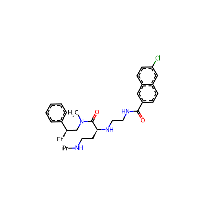 CC[C@H](CN(C)C(=O)[C@H](CCNC(C)C)NCCNC(=O)c1ccc2cc(Cl)ccc2c1)c1ccccc1